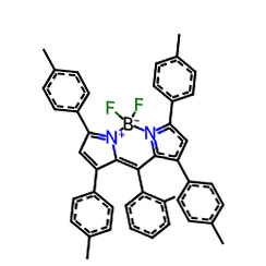 Cc1ccc(C2=CC(c3ccc(C)cc3)=[N+]3C2=C(c2ccccc2C)c2c(-c4ccc(C)cc4)cc(-c4ccc(C)cc4)n2[B-]3(F)F)cc1